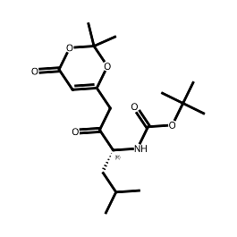 CC(C)C[C@@H](NC(=O)OC(C)(C)C)C(=O)CC1=CC(=O)OC(C)(C)O1